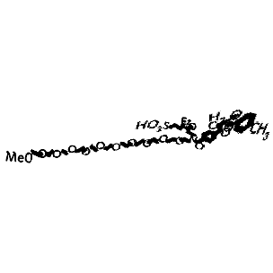 C=C(CS(=O)(=O)c1ccc(C)cc1)C(=O)c1ccc(C(=O)N(CCOCCOCCOCCOCCOCCOCCOCCOCCOCCOCCOC)CCC(=O)N(CC)CCCS(=O)(=O)O)cc1